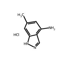 Cc1cc(N)c2cn[nH]c2c1.Cl